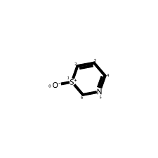 [O-][S+]1C=CC=NC1